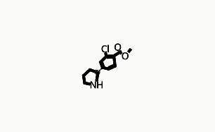 COC(=O)c1ccc([C@H]2CCCNC2)cc1Cl